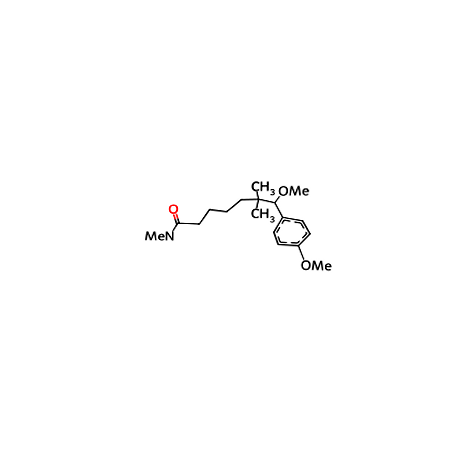 CNC(=O)CCCCC(C)(C)C(OC)c1ccc(OC)cc1